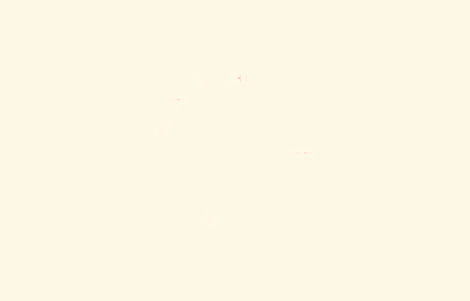 O=C(O)/C(=C(\C(=O)O)c1ccc(O)cc1)c1ccc(O)cc1